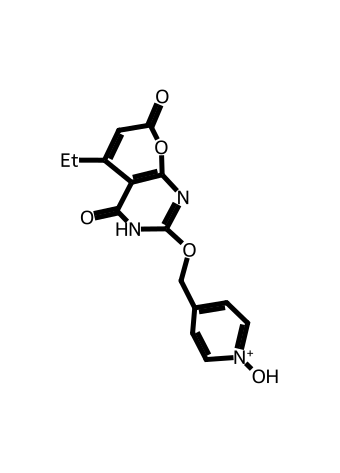 CCc1cc(=O)oc2nc(OCc3cc[n+](O)cc3)[nH]c(=O)c12